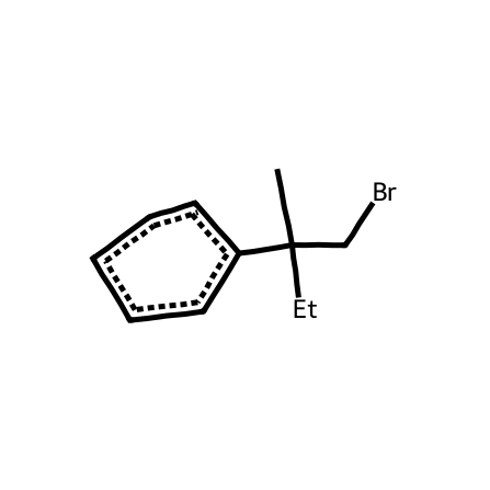 CCC(C)(CBr)c1ccccc1